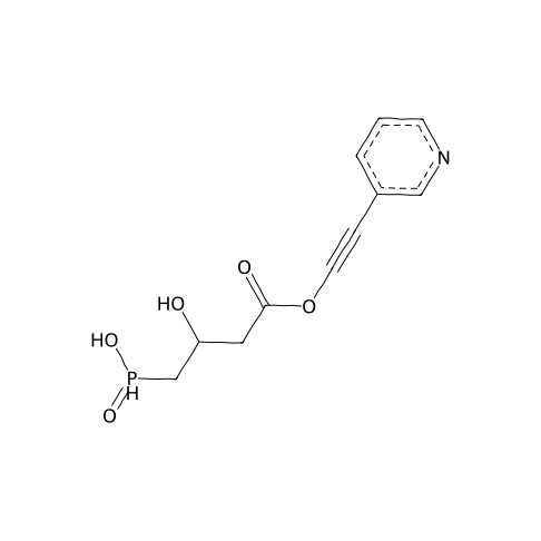 O=C(CC(O)C[PH](=O)O)OC#Cc1cccnc1